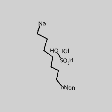 CCCCCCCCCCCCCCC[CH2][Na].O=S(=O)(O)O.[KH]